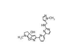 CN1CC[C@@](O)(c2cc(-c3cccc(-c4ccnc(NCc5ccnn5C)n4)n3)no2)C1=O